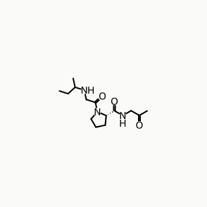 CCC(C)NCC(=O)N1CCC[C@H]1C(=O)NCC(C)=O